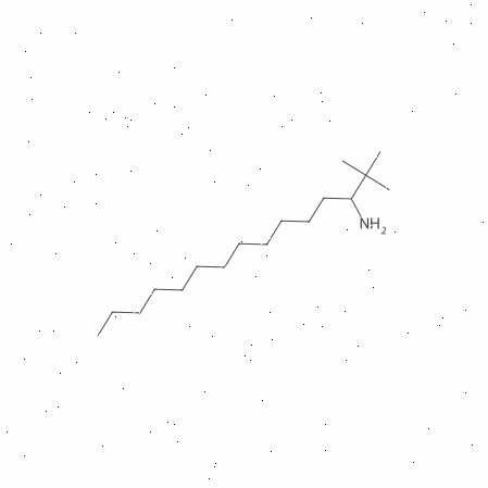 CCCCCCCCCCCCC(N)C(C)(C)C